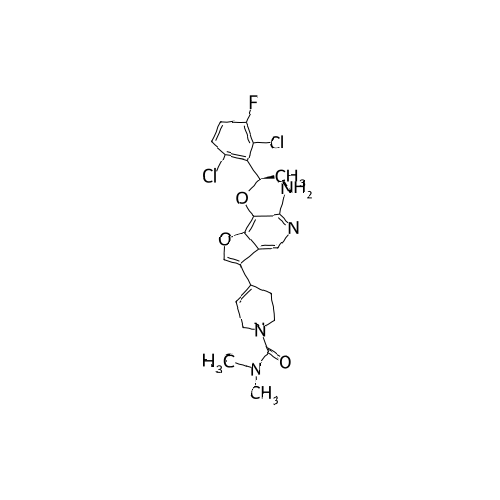 C[C@@H](Oc1c(N)ncc2c(C3=CCN(C(=O)N(C)C)CC3)coc12)c1c(Cl)ccc(F)c1Cl